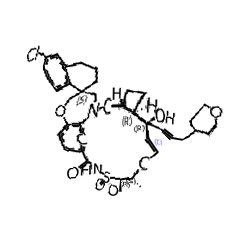 C[C@@H]1[C@@H](C)C/C=C/[C@@](O)(C#CCC2CCOCC2)[C@@H]2CC[C@H]2CN2C[C@@]3(CCCc4cc(Cl)ccc43)COc3ccc(cc32)C(=O)NS1(=O)=O